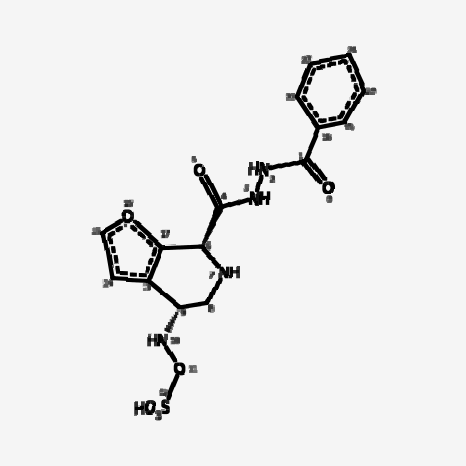 O=C(NNC(=O)[C@H]1NC[C@H](NOS(=O)(=O)O)c2ccoc21)c1ccccc1